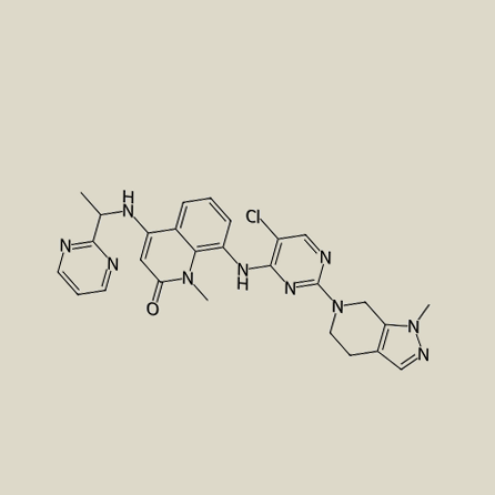 CC(Nc1cc(=O)n(C)c2c(Nc3nc(N4CCc5cnn(C)c5C4)ncc3Cl)cccc12)c1ncccn1